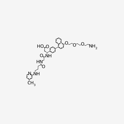 Cc1ccnc(NCCCC(=O)NCC(=O)N[C@@H](CC(=O)O)c2ccc(-c3ccc(OCCOCCOCCN)c4ccccc34)cc2)c1